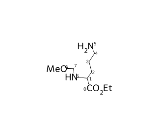 CCOC(=O)C(CCCN)NCOC